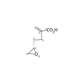 C=C(CC[C@H]1CO1)C(=O)O